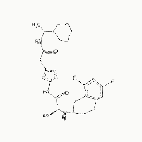 CCC[C@H](NC1CCc2cc(F)cc(F)c2C1)C(=O)Nc1cn(CC(=O)N[C@H](C)C2CCCCC2)cn1